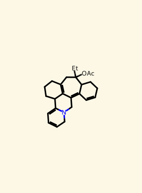 CCC1(OC(C)=O)CC2=C3C(=C4C=CCCC41)CN1CC=CC=C1C3CCC2